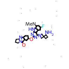 CNc1cc(F)cc2c1[nH]c1nc(Oc3ccc4nc5n(c(=O)c4c3)CCC5)nc(N3CC4(CC[C@H]4N)C3)c12